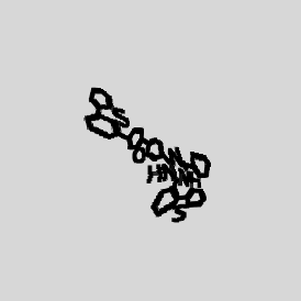 c1ccc(C2=NC(c3ccc4c(c3)oc3cc(-c5cccc6c5sc5ccccc56)ccc34)NC(c3cccc4sc5ccccc5c34)N2)cc1